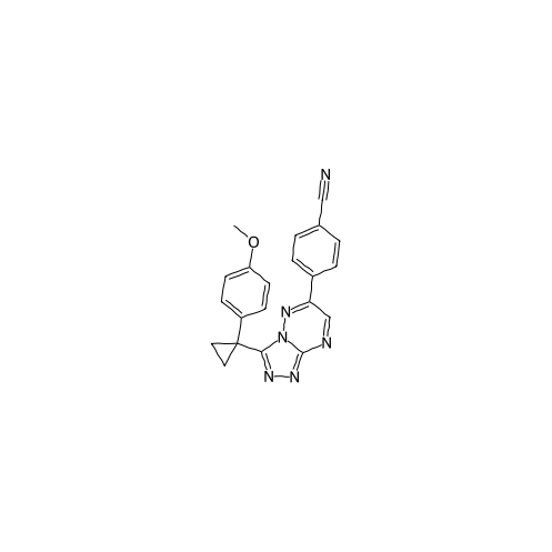 COc1ccc(C2(c3nnc4ncc(-c5ccc(C#N)cc5)nn34)CC2)cc1